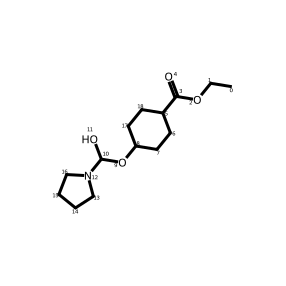 CCOC(=O)C1CCC(OC(O)N2CCCC2)CC1